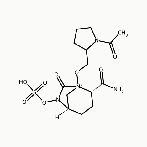 CC(=O)N1CCCC1CO[N+]12C[C@@H](CC[C@H]1C(N)=O)N(OS(=O)(=O)O)C2=O